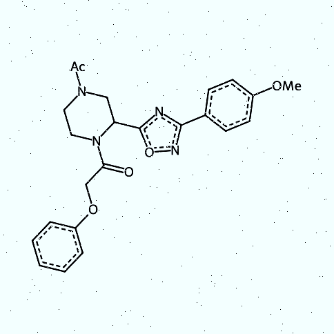 COc1ccc(-c2noc(C3CN(C(C)=O)CCN3C(=O)COc3ccccc3)n2)cc1